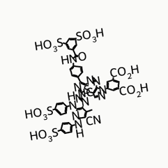 Cc1c(C#N)c(Nc2ccc(S(=O)(=O)O)cc2)nc(Nc2ccc(S(=O)(=O)O)cc2)c1N=Nc1nc(-c2ccc(NC(=O)c3cc(S(=O)(=O)O)cc(S(=O)(=O)O)c3)cc2)c(/N=N\c2c(C#N)cnn2-c2cc(C(=O)O)cc(C(=O)O)c2)s1